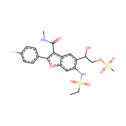 CCS(=O)(=O)Nc1cc2oc(-c3ccc(F)cc3)c(C(=O)NC)c2cc1C(O)COS(C)(=O)=O